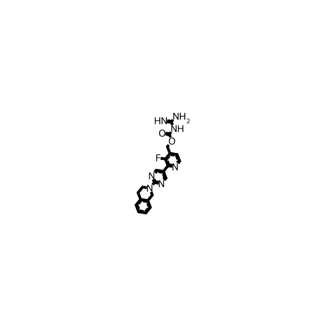 N=C(N)NC(=O)OCc1ccnc(-c2cnc(N3CCc4ccccc4C3)nc2)c1F